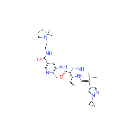 C=C/C(N/C=C(/c1cnn(C2CC2)c1)C(C)C)=C(/C=N)C(=O)Nc1cc(C(=O)NCCN2CCCC2(C)C)cnc1C